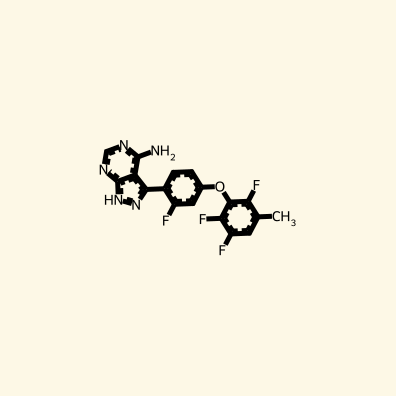 Cc1cc(F)c(F)c(Oc2ccc(-c3n[nH]c4ncnc(N)c34)c(F)c2)c1F